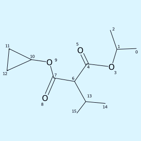 CC(C)OC(=O)C(C(=O)OC1CC1)C(C)C